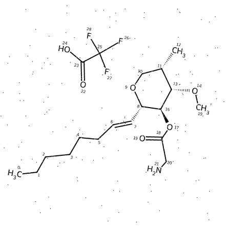 CCCCCC/C=C/[C@@H]1OC[C@H](C)[C@H](OC)[C@H]1OC(=O)CN.O=C(O)C(F)(F)F